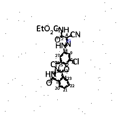 CCOC(=O)NC(=O)/C(C#N)=N\Nc1cc(Cl)c(Oc2n[nH]c(=O)c3ccccc23)c(Cl)c1